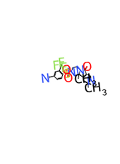 Cc1cc2c(cn1)C(=O)N1CCN(S(=O)(=O)c3ccc(C#N)cc3C(F)(F)F)CC21C